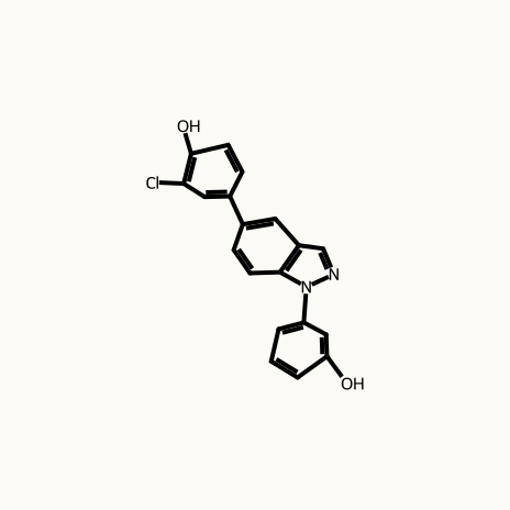 Oc1cccc(-n2ncc3cc(-c4ccc(O)c(Cl)c4)ccc32)c1